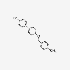 [SiH3]c1ccc(COc2ccc(-c3ccc(Br)cc3)cc2)cc1